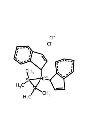 C[Si]1(C)[Si](C)(C)[Hf+2]1([CH]1C=Cc2ccccc21)[CH]1C=Cc2ccccc21.[Cl-].[Cl-]